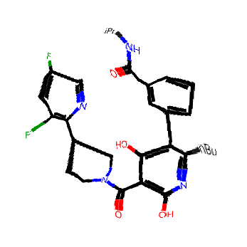 CCCCc1nc(O)c(C(=O)N2CCC(c3ncc(F)cc3F)C2)c(O)c1-c1cccc(C(=O)NC(C)C)c1